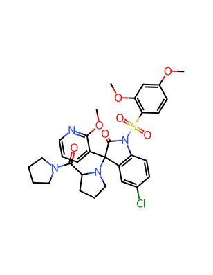 COc1ccc(S(=O)(=O)N2C(=O)C(c3cccnc3OC)(N3CCCC3C(=O)N3CCCC3)c3cc(Cl)ccc32)c(OC)c1